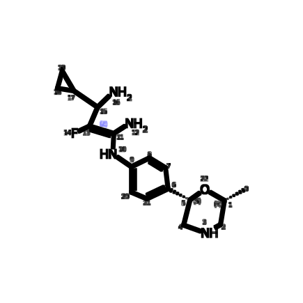 C[C@@H]1CNC[C@H](c2ccc(N/C(N)=C(\F)C(N)C3CC3)cc2)O1